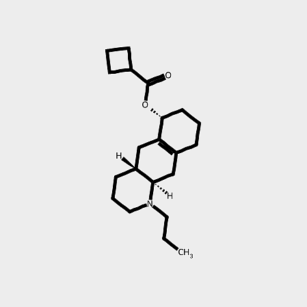 CCCN1CCC[C@@H]2CC3=C(CCC[C@H]3OC(=O)C3CCC3)C[C@H]21